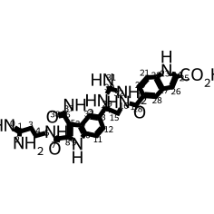 N=C(N)CCNC(=O)c1[nH]c2ccc(C(CNC(=O)c3ccc4[nH]c(C(=O)O)cc4c3)NC(=N)N)cc2c1C(N)=O